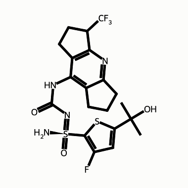 CC(C)(O)c1cc(F)c([S@](N)(=O)=NC(=O)Nc2c3c(nc4c2CCC4C(F)(F)F)CCC3)s1